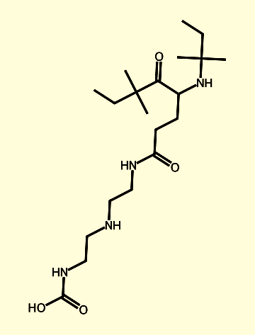 CCC(C)(C)NC(CCC(=O)NCCNCCNC(=O)O)C(=O)C(C)(C)CC